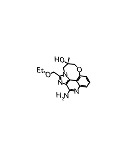 CCOCc1nc2c(N)nc3cccc4c3c2n1C[C@](C)(O)CO4